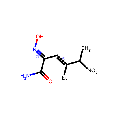 CC/C(=C\C(=N/O)C(N)=O)C(C)[N+](=O)[O-]